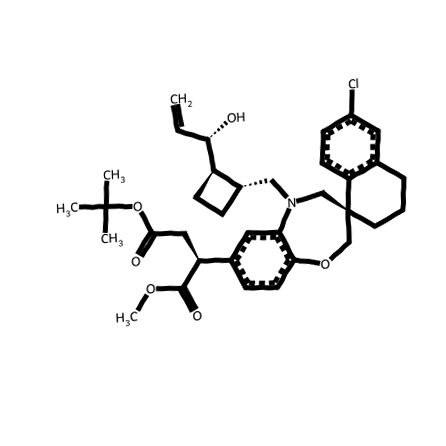 C=C[C@H](O)[C@@H]1CC[C@H]1CN1C[C@@]2(CCCc3cc(Cl)ccc32)COc2ccc([C@H](CC(=O)OC(C)(C)C)C(=O)OC)cc21